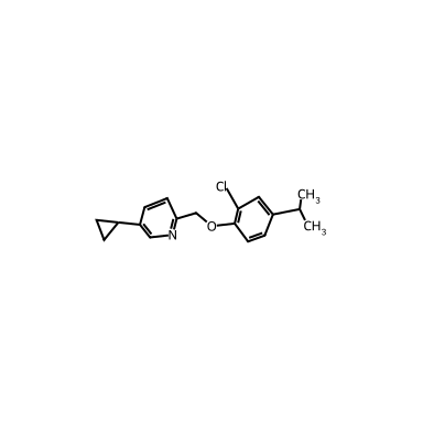 CC(C)c1ccc(OCc2ccc(C3CC3)cn2)c(Cl)c1